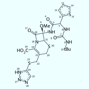 CO[C@]1(NC(=O)C(NC(=O)NC(C)(C)C)c2cccs2)C(=O)N2C(C(=O)O)=C(CSc3cnn[nH]3)CSC21